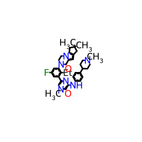 CCc1c(-c2cn(C)c(=O)c(Nc3ccc(C4CCN(C)CC4)cc3)n2)cc(F)cc1N1CCn2c(cc3c2CC(C)(C)C3)C1=O